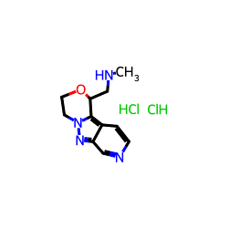 CNCC1OCCn2nc3cnccc3c21.Cl.Cl